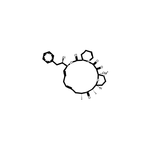 CC[C@H](Cc1ccccc1)[C@@H]1/C=C/C/C=C/C[C@@H](C)C(=O)[C@@H](C)[C@@H]2CC[C@@H](C)[C@@](O)(O2)C(=O)C(=O)N2CCCCC2C(=O)O1